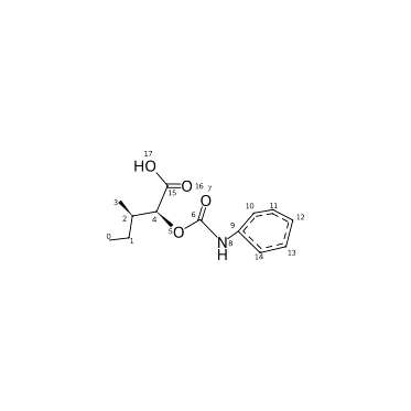 CC[C@@H](C)[C@H](OC(=O)Nc1ccccc1)C(=O)O